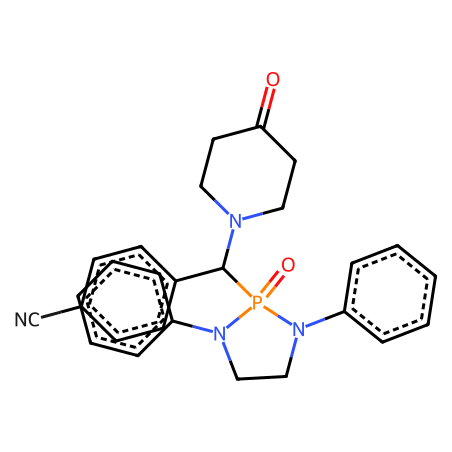 N#Cc1ccc(C(N2CCC(=O)CC2)P2(=O)N(c3ccccc3)CCN2c2ccccc2)cc1